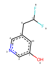 Oc1cncc(CC(F)F)c1